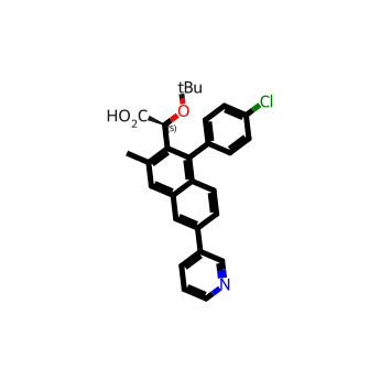 Cc1cc2cc(-c3cccnc3)ccc2c(-c2ccc(Cl)cc2)c1[C@H](OC(C)(C)C)C(=O)O